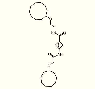 O=C(COC1CCCCCCCC1)NC12CC(C(=O)NCCOC3CCCCCCCCC3)(C1)C2